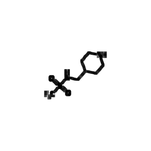 O=S(=O)(NCC1CCNCC1)C(F)(F)F